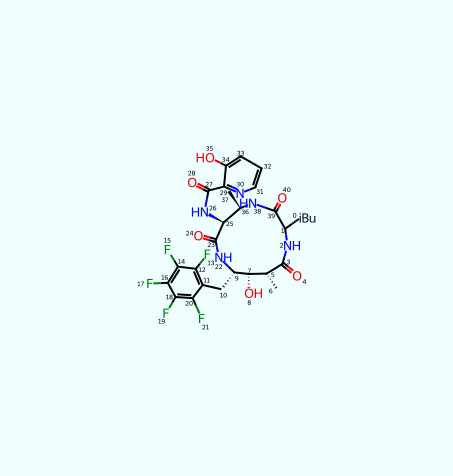 CCC(C)C1NC(=O)[C@H](C)[C@H](O)[C@H](Cc2c(F)c(F)c(F)c(F)c2F)NC(=O)[C@@H](NC(=O)c2ncccc2O)[C@@H](C)NC1=O